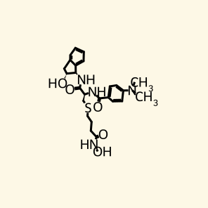 CN(C)c1ccc(C(=O)N[C@@H](CSCCCC(=O)NO)C(=O)N[C@H]2c3ccccc3C[C@H]2O)cc1